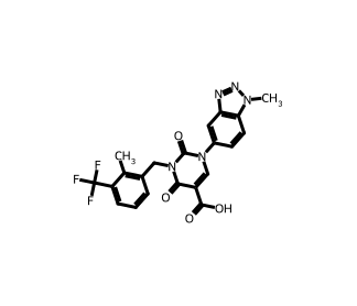 Cc1c(Cn2c(=O)c(C(=O)O)cn(-c3ccc4c(c3)nnn4C)c2=O)cccc1C(F)(F)F